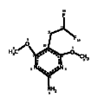 COc1nc(N)nc(OC)c1CC(F)F